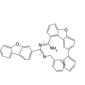 N/C(=N\C(=N/Cc1ccccc1)c1ccc2c(c1)oc1ccccc12)c1cccc2oc3ccc(-c4ccccc4)cc3c12